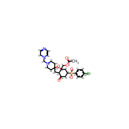 CC(=O)OCC12CC(S(=O)(=O)c3ccc(Br)cc3)CC(=O)C1CC1(CCN(CN3C=CN=CC3)CC1)O2